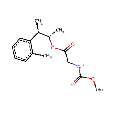 Cc1ccccc1[C@@H](C)[C@H](C)OC(=O)CNC(=O)OC(C)(C)C